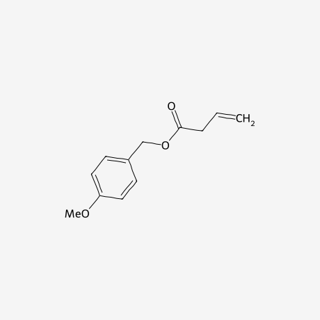 C=CCC(=O)OCc1ccc(OC)cc1